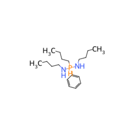 CCCCN[PH](CCCC)(NCCCC)c1ccccc1